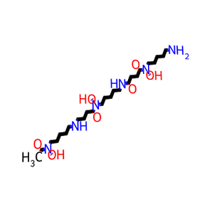 CC(=O)N(O)CCCCCNCCCC(=O)N(O)CCCCCNC(=O)CCC(=O)N(O)CCCCCN